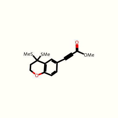 COC(=O)C#Cc1ccc2c(c1)C(SC)(SC)CCO2